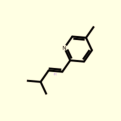 Cc1ccc(/C=C/C(C)C)nc1